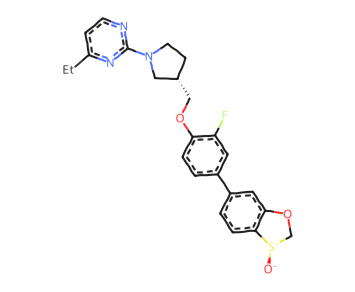 CCc1ccnc(N2CC[C@H](COc3ccc(-c4ccc5c(c4)OC[S@@+]5[O-])cc3F)C2)n1